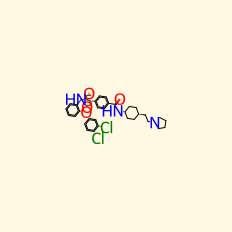 O=C(N[C@H]1CC[C@H](CCN2CCCC2)CC1)c1ccc(S(=O)(=O)Nc2ccccc2Oc2ccc(Cl)c(Cl)c2)cc1